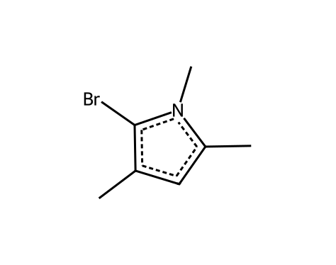 Cc1cc(C)n(C)c1Br